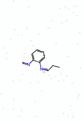 C=Nc1ccccc1/N=C\CC